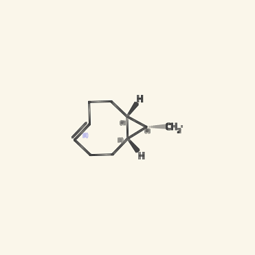 [CH2][C@H]1[C@H]2CC/C=C/CC[C@@H]12